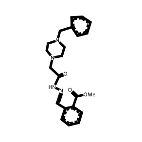 COC(=O)c1ccccc1/C=N/NC(=O)CN1CCN(Cc2ccccc2)CC1